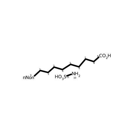 CCCCCCCCCCCCCCCCCC(=O)O.NS(=O)(=O)O